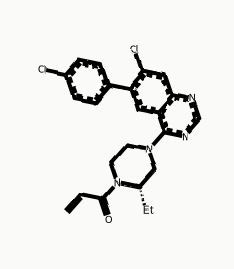 C=CC(=O)N1CCN(c2ncnc3cc(Cl)c(-c4ccc(Cl)cc4)cc23)C[C@@H]1CC